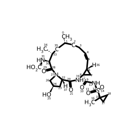 C[C@@H]1CC/C=C\[C@@H]2C[C@@]2(C(=O)NS(=O)(=O)C2(C)CC2)NC(=O)[C@@H]2C[C@@H](O)CN2C(=O)[C@@H](NC(=O)O)[C@H](C)C1